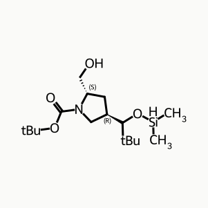 C[SiH](C)OC([C@@H]1C[C@@H](CO)N(C(=O)OC(C)(C)C)C1)C(C)(C)C